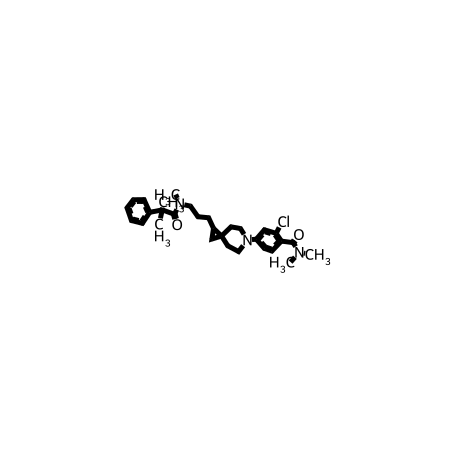 CN(C)C(=O)c1ccc(N2CCC3(CC2)CC3CCCN(C)C(=O)C(C)(C)c2ccccc2)cc1Cl